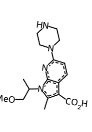 COCC(C)n1c(C)c(C(=O)O)c2ccc(N3CCNCC3)nc21